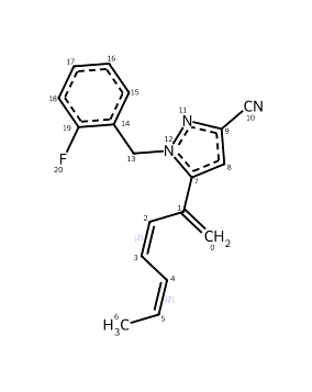 C=C(/C=C\C=C/C)c1cc(C#N)nn1Cc1ccccc1F